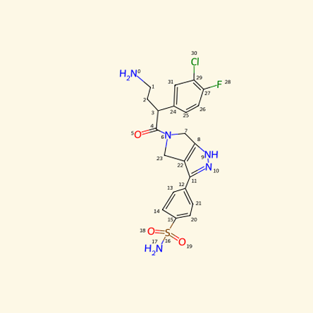 NCCC(C(=O)N1Cc2[nH]nc(-c3ccc(S(N)(=O)=O)cc3)c2C1)c1ccc(F)c(Cl)c1